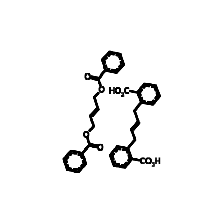 O=C(O)c1ccccc1CC=CCc1ccccc1C(=O)O.O=C(OCC=CCOC(=O)c1ccccc1)c1ccccc1